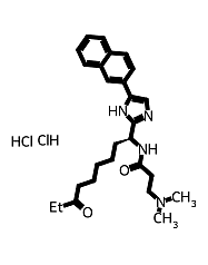 CCC(=O)CCCCC[C@H](NC(=O)CCN(C)C)c1ncc(-c2ccc3ccccc3c2)[nH]1.Cl.Cl